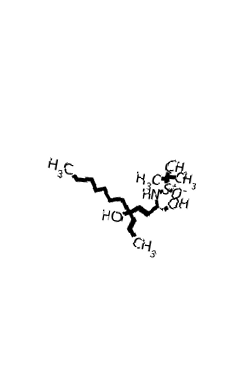 CCCCCCCC(O)(/C=C/[C@@H](CO)N[S+]([O-])C(C)(C)C)CCC